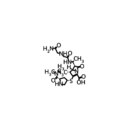 CC(NC(=O)CNCC(N)=O)[C@H]1C(=O)N2C(C(=O)O)=C(S[C@@H]3CN[C@H](C(=O)N(C)C)C3)[C@H](C)[C@H]12